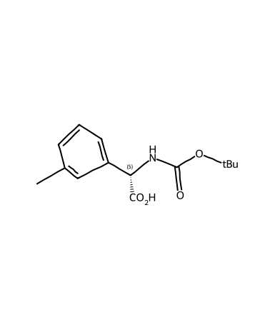 Cc1cccc([C@H](NC(=O)OC(C)(C)C)C(=O)O)c1